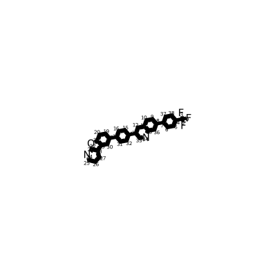 FC(F)(F)c1ccc(-c2ccc3cc(-c4ccc(-c5ccc6oc7ncccc7c6c5)cc4)cnc3c2)cc1